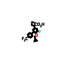 CC(C)CC(C(=O)O)c1cc(F)c(OCC2CC2)c(-c2ccc(C(F)(F)F)cc2)c1